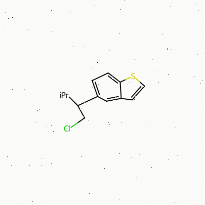 CC(C)C(CCl)c1ccc2sccc2c1